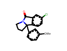 COc1cccc(C23CCCN2C(=O)c2cc(Cl)ccc23)c1